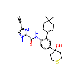 C#Cc1c[nH]c(C(=O)Nc2ccc(C3(O)CCSCC3)cc2C2=CCC(C)(C)CC2)n1